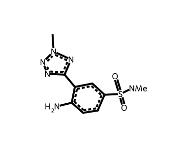 CNS(=O)(=O)c1ccc(N)c(-c2nnn(C)n2)c1